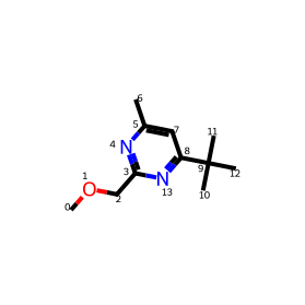 COCc1nc(C)cc(C(C)(C)C)n1